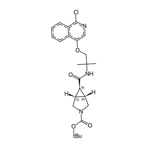 CC(C)(COc1cnc(Cl)c2ccccc12)NC(=O)[C@H]1[C@@H]2CN(C(=O)OC(C)(C)C)C[C@@H]21